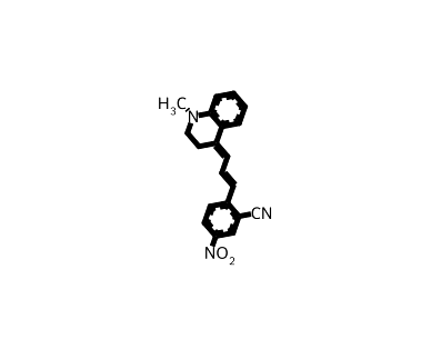 CN1CCC(=CC=Cc2ccc([N+](=O)[O-])cc2C#N)c2ccccc21